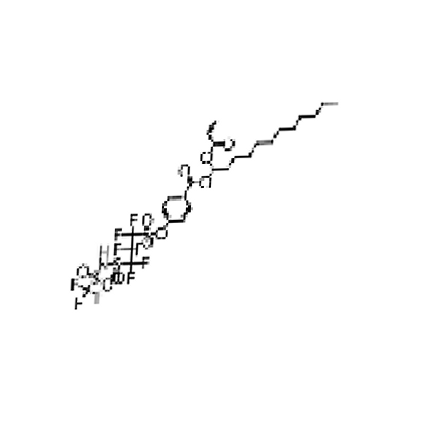 C=CC(=O)OC(CCCCCCCCCCC)OC(=O)c1ccc(OS(=O)(=O)C(F)(F)C(F)(F)C(F)(F)S(=O)(=O)NS(=O)(=O)C(F)(F)F)cc1